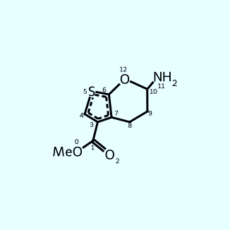 COC(=O)c1csc2c1CCC(N)O2